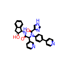 O=C(N[C@@H]1c2ccccc2C[C@@H]1O)C(c1cccnc1)N(C(=O)c1c[nH]cn1)c1ccc(-c2ccncc2)cc1